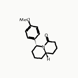 COc1ccc([C@H]2CCC[C@H]3CCCC(=O)N32)cc1